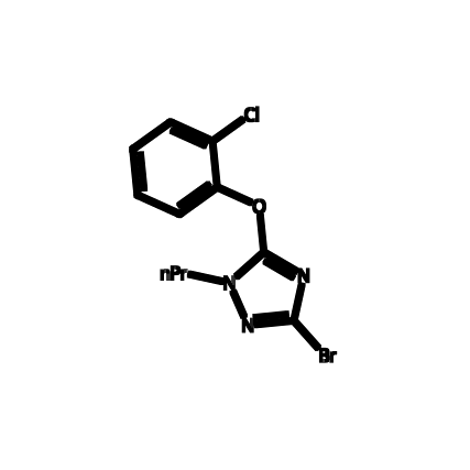 CCCn1nc(Br)nc1Oc1ccccc1Cl